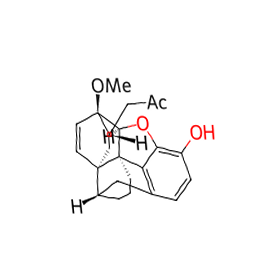 CO[C@]12C=C[C@]3(C[C@H]1CC(C)=O)[C@H]1CCC[C@]34c3c(ccc(O)c3O[C@H]24)C1